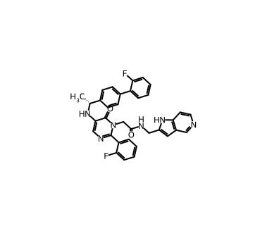 C[C@@H](Nc1cnc(-c2ccccc2F)n(CC(=O)NCc2cc3cnccc3[nH]2)c1=O)c1ccc(-c2ccccc2F)cc1